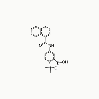 CC1(C)OB(O)c2cc(NC(=O)c3cccc4ccccc34)ccc21